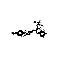 Cc1ccc(S(=O)(=O)NCCCC(Sc2ccccc2)C(C)O[Si](C)(C)C(C)(C)C)cc1